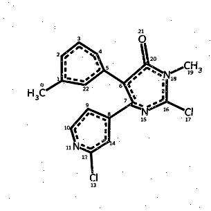 Cc1cccc(-c2c(-c3ccnc(Cl)c3)nc(Cl)n(C)c2=O)c1